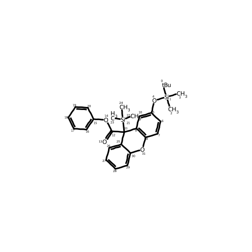 CC(C)(C)[Si](C)(C)Oc1ccc2c(c1)C(C(=O)Oc1ccccc1)([Si](C)(C)C)c1ccccc1O2